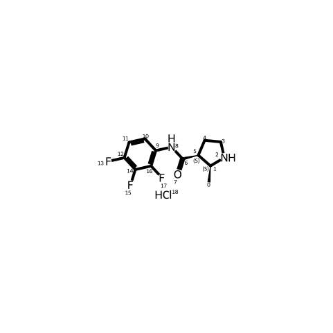 C[C@@H]1NCC[C@@H]1C(=O)Nc1ccc(F)c(F)c1F.Cl